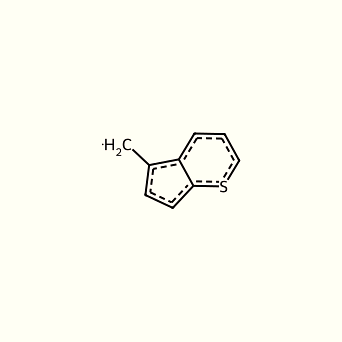 [CH2]c1ccc2scccc1-2